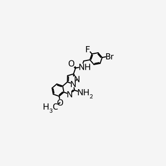 COc1cccc2c1nc(N)n1nc(C(=O)NCc3ccc(Br)cc3F)cc21